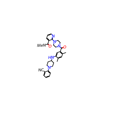 CNC(=O)c1cccnc1N1CCN(C(=O)c2cc(NC3CCN(c4ccccc4C#N)CC3)c(C)cc2C)CC1